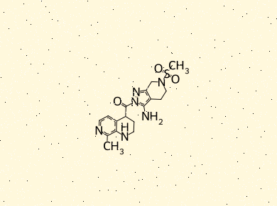 Cc1nccc2c1NCCC2C(=O)n1nc2c(c1N)CCN(S(C)(=O)=O)C2